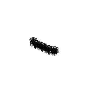 CCc1c(F)c(F)c2c(F)c(-c3c(F)c(F)c(-c4c(F)c(F)c(-c5c(F)c(F)c(-c6c(F)c(F)c(-c7c(F)c(F)c8c(F)c(F)c(F)c(F)c8c7F)c(F)c6F)c(F)c5F)c(F)c4F)c(F)c3F)c(F)c(F)c2c1F